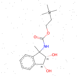 CC1(NC(=O)OCC[Si](C)(C)C)c2ccccc2[C@@H](O)[C@H]1O